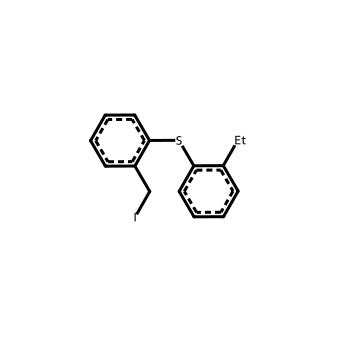 CCc1ccccc1Sc1ccccc1CI